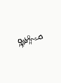 Cc1cc(C(=O)NCCSCc2ccccc2)c(C)n1-c1ccccc1C(F)(F)F